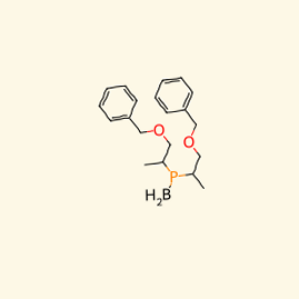 BP(C(C)COCc1ccccc1)C(C)COCc1ccccc1